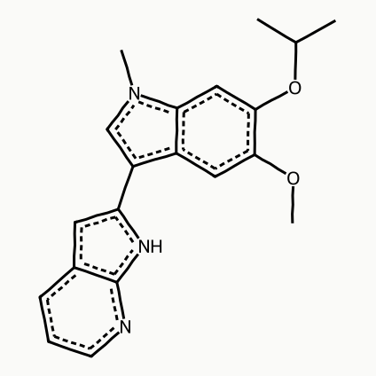 COc1cc2c(-c3cc4cccnc4[nH]3)cn(C)c2cc1OC(C)C